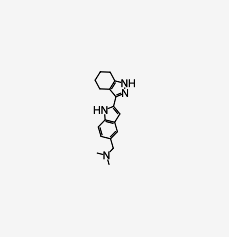 CN(C)Cc1ccc2[nH]c(-c3n[nH]c4c3CCCC4)cc2c1